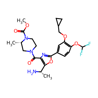 COC(=O)N1CCN(C(=O)c2nc(-c3ccc(OC(F)F)c(OCC4CC4)c3)oc2[C@H](C)N)C[C@@H]1C